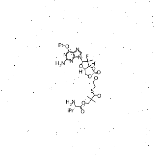 CCOc1nc(N)nc2c1ncn2[C@@H]1O[C@@H]2CO[P@@](=O)(OCCSC(=O)C(C)(C)COC(=O)[C@@H](N)C(C)C)O[C@H]2[C@@]1(C)F